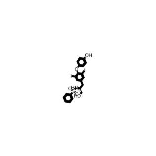 O=S(=O)(N[C@H](CO)Cc1cc(I)c(Oc2ccc(O)cc2)c(I)c1)c1ccccc1